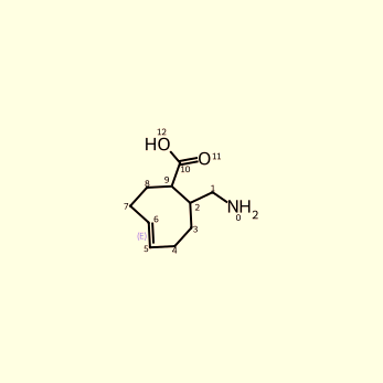 NCC1CC/C=C/CCC1C(=O)O